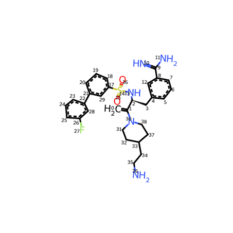 C=C([C@H](Cc1cccc(C(=N)N)c1)NS(=O)(=O)c1cccc(-c2cccc(F)c2)c1)N1CCC(CCN)CC1